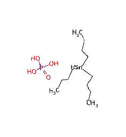 CCC[CH2][SnH]([CH2]CCC)[CH2]CCC.O=P(O)(O)O